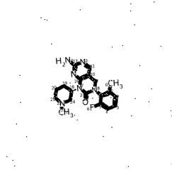 Cc1cccc(F)c1N1Cc2cnc(N)nc2N([C@H]2CCCN(C)C2)C1=O